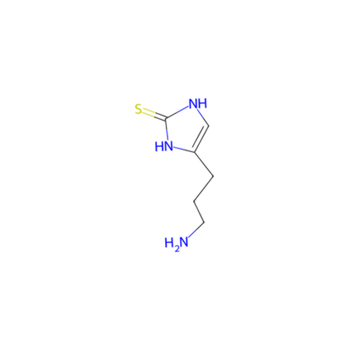 NCCCc1c[nH]c(=S)[nH]1